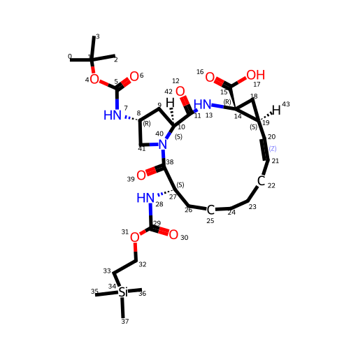 CC(C)(C)OC(=O)N[C@@H]1C[C@H]2C(=O)N[C@]3(C(=O)O)C[C@H]3/C=C\CCCCC[C@H](NC(=O)OCC[Si](C)(C)C)C(=O)N2C1